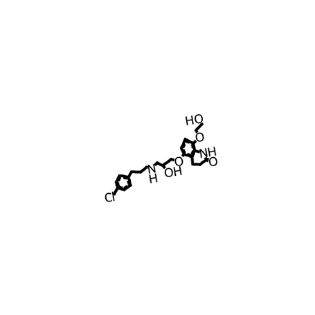 O=C1CCc2c(OCC(O)CNCCCc3ccc(Cl)cc3)ccc(OCCO)c2N1